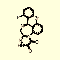 O=c1[nH]nc2n(c1=O)-c1cccc(Br)c1C(c1ccccc1F)=NC2